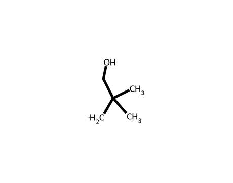 [CH2]C(C)(C)CO